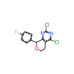 Fc1ccc(C2OCCc3c(Cl)nc(Cl)nc32)cc1